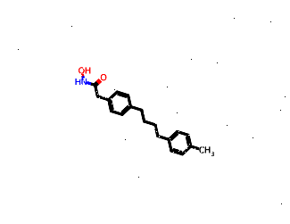 Cc1ccc(CCCCc2ccc(CC(=O)NO)cc2)cc1